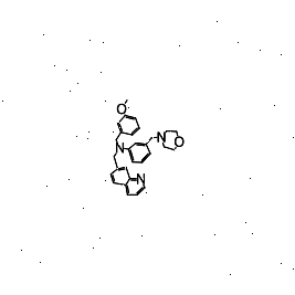 COc1cccc(CN(Cc2ccc3cccnc3c2)c2cccc(CN3CCOCC3)c2)c1